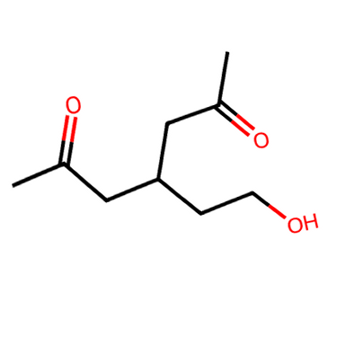 CC(=O)CC(CCO)CC(C)=O